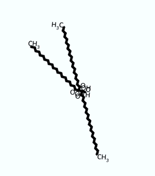 CCCCCCCCCCCCCCCCCCCCCC(=O)C(O)(CO)C(O)(C(=O)CCCCCCCCCCCCCCCCCCCCC)C(=O)CCCCCCCCCCCCCCCCCCCCC